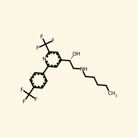 CCCCCNC[C@@H](O)c1cc(-c2ccc(C(F)(F)F)cc2)nc(C(F)(F)F)c1